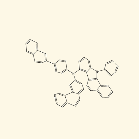 c1ccc(-n2c3cccc(N(c4ccc(-c5ccc6ccccc6c5)cc4)c4ccc5ccc6ccccc6c5c4)c3c3ccc4ccccc4c32)cc1